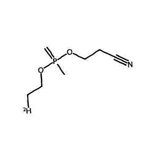 [2H]CCOP(=C)(C)OCCC#N